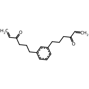 C=CC(=O)CCCc1cccc(CCCC(=O)C=C)c1